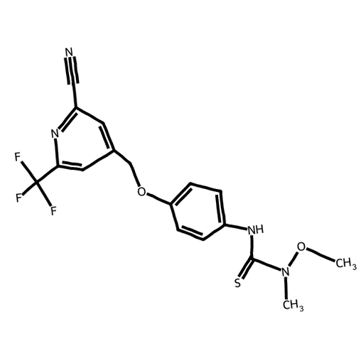 CON(C)C(=S)Nc1ccc(OCc2cc(C#N)nc(C(F)(F)F)c2)cc1